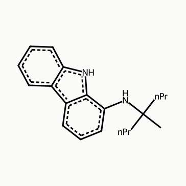 CCCC(C)(CCC)Nc1cccc2c1[nH]c1ccccc12